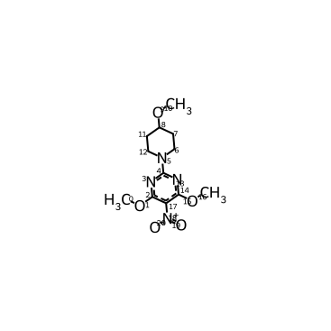 COc1nc(N2CCC(OC)CC2)nc(OC)c1[N+](=O)[O-]